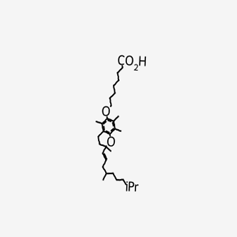 Cc1c(C)c2c(c(C)c1OCCCCCCCC(=O)O)CCC(C)(/C=C/CC(C)CCCC(C)C)O2